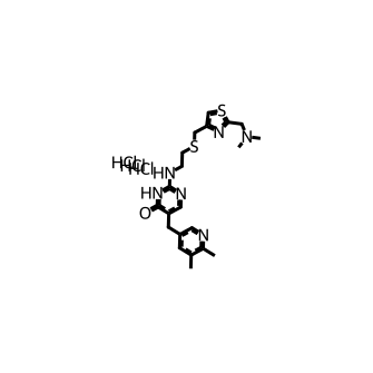 Cc1cc(Cc2cnc(NCCSCc3csc(CN(C)C)n3)[nH]c2=O)cnc1C.Cl.Cl.Cl